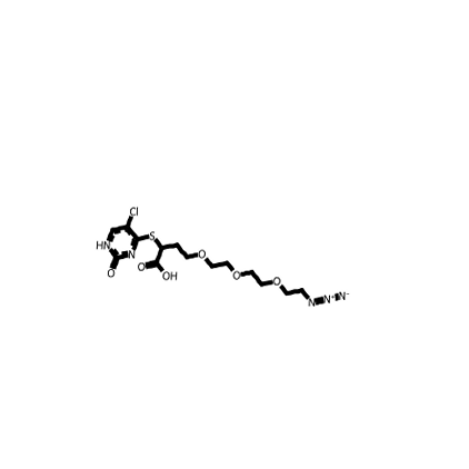 [N-]=[N+]=NCCOCCOCCOCCC(Sc1nc(=O)[nH]cc1Cl)C(=O)O